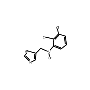 [O-][S+](Cc1cnc[nH]1)c1cccc(Cl)c1Cl